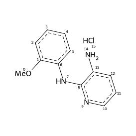 COc1ccccc1Nc1ncccc1N.Cl